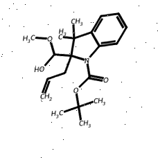 C=CCC1(C(O)OC)N(C(=O)OC(C)(C)C)c2ccccc2C1(C)C